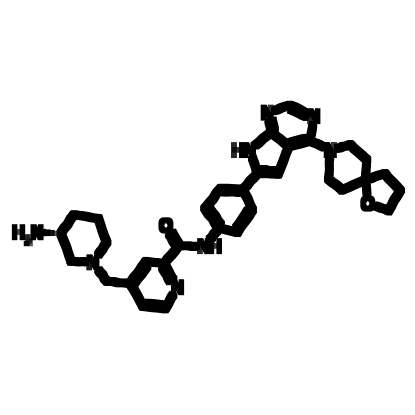 N[C@@H]1CCCN(Cc2ccnc(C(=O)Nc3ccc(-c4cc5c(N6CCC7(CCCO7)CC6)ncnc5[nH]4)cc3)c2)C1